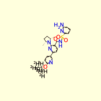 [2H]C([2H])([2H])C([2H])(Oc1ccc(-c2ccc(C(=O)NS(=O)(=O)c3cccc(N)n3)c(N3[C@H](C)CC[C@@H]3C)n2)cn1)C([2H])([2H])[2H]